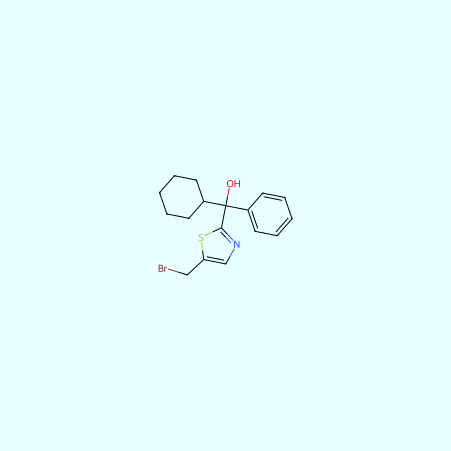 OC(c1ccccc1)(c1ncc(CBr)s1)C1CCCCC1